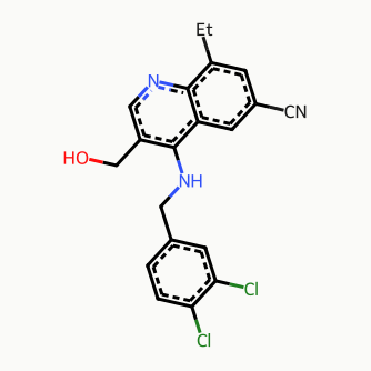 CCc1cc(C#N)cc2c(NCc3ccc(Cl)c(Cl)c3)c(CO)cnc12